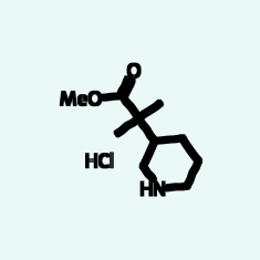 COC(=O)C(C)(C)C1CCCNC1.Cl